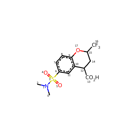 CN(C)S(=O)(=O)c1ccc2c(c1)C(C(=O)O)CC(C(F)(F)F)O2